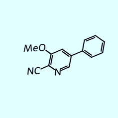 COc1cc(-c2ccccc2)cnc1C#N